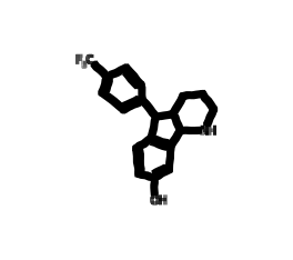 Oc1ccc2c(c1)C1NCCCC1C2c1ccc(C(F)(F)F)cc1